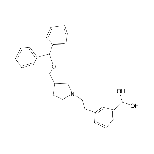 OC(O)c1cccc(CCN2CCC(COC(c3ccccc3)c3ccccc3)C2)c1